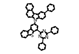 c1ccc(-c2ccc3c(c2)c2c4ccccc4ccc2n3-c2cc(-c3nc(-c4ccccc4)nc(-c4ccccc4)n3)c3sc4ccccc4c3c2)cc1